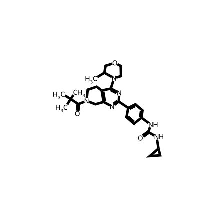 CC1COCCN1c1nc(-c2ccc(NC(=O)NC3CC3)cc2)nc2c1CCN(C(=O)C(C)(C)C)C2